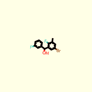 Cc1cc(Br)cc(C(O)c2cccc(F)c2)c1F